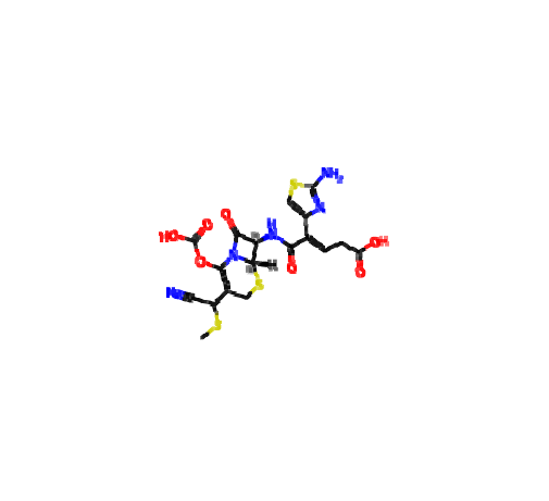 CSC(C#N)C1=C(OC(=O)O)N2C(=O)[C@@H](NC(=O)C(=CCC(=O)O)c3csc(N)n3)[C@@H]2SC1